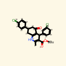 CCC(C)OC(=O)C1=C(C)NC2=C(C(=O)CC(c3ccc(Cl)cc3)C2)C1c1cccc(Cl)c1